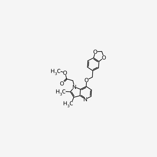 COC(=O)Cn1c(C)c(C)c2nccc(OCc3ccc4c(c3)OCO4)c21